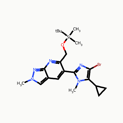 Cn1cc2cc(-c3nc(Br)c(C4CC4)n3C)c(CO[Si](C)(C)C(C)(C)C)nc2n1